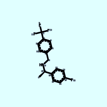 C[C@@H](NCc1ccc(C(F)(F)F)cn1)c1ccc(F)cc1